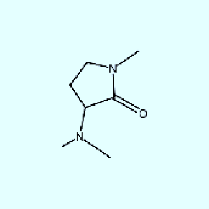 CN1CCC(N(C)C)C1=O